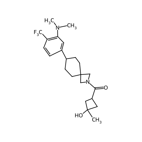 CN(C)c1cc(C2CCC3(CC2)CN(C(=O)C2CC(C)(O)C2)C3)ccc1C(F)(F)F